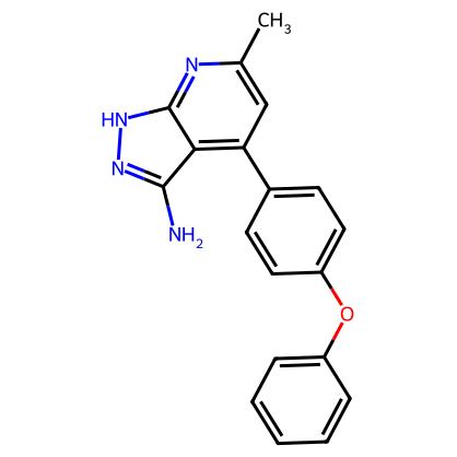 Cc1cc(-c2ccc(Oc3ccccc3)cc2)c2c(N)n[nH]c2n1